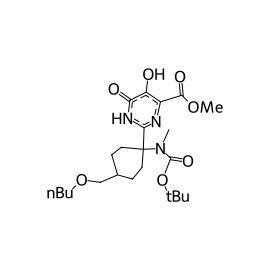 CCCCOCC1CCC(c2nc(C(=O)OC)c(O)c(=O)[nH]2)(N(C)C(=O)OC(C)(C)C)CC1